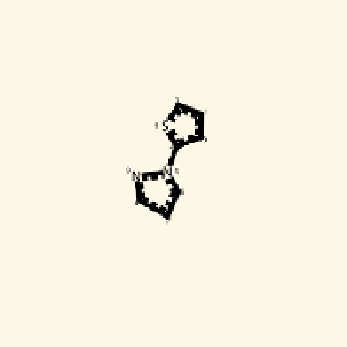 [c]1ccsc1-n1cccn1